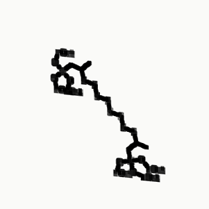 CCCCCCCCO[Si](CC(C)SSSSSSSSC(C)C[Si](OCCCCCCCC)(OCCCCCCCC)OCCCCCCCC)(OCCCCCCCC)OCCCCCCCC